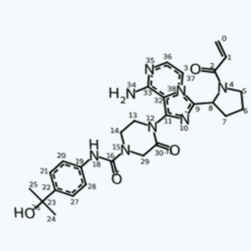 C=CC(=O)N1CCCC1c1nc(N2CCN(C(=O)Nc3ccc(C(C)(C)O)cc3)CC2=O)c2c(N)nccn12